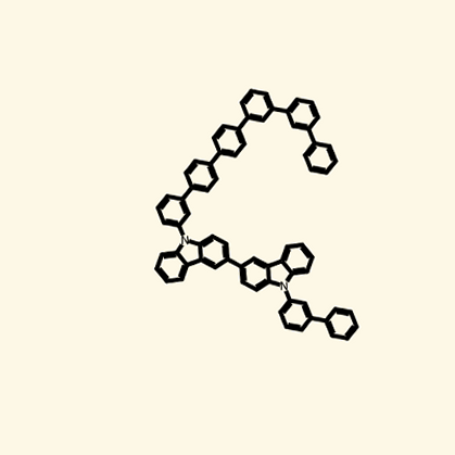 c1ccc(-c2cccc(-c3cccc(-c4ccc(-c5ccc(-c6cccc(-n7c8ccccc8c8cc(-c9ccc%10c(c9)c9ccccc9n%10-c9cccc(-c%10ccccc%10)c9)ccc87)c6)cc5)cc4)c3)c2)cc1